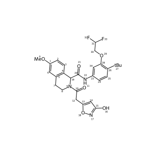 COc1ccc2c(c1)CCN(C(=O)Cc1cc(O)no1)C2C(=O)Nc1ccc(C(C)(C)C)c(OCC(F)F)c1